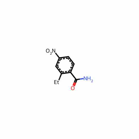 CCc1cc([N+](=O)[O-])ccc1C(N)=O